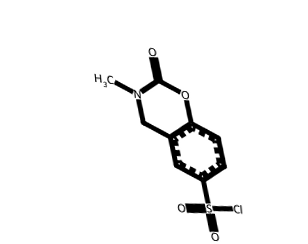 CN1Cc2cc(S(=O)(=O)Cl)ccc2OC1=O